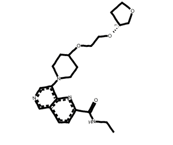 CCNC(=O)c1ccc2cncc(N3CCC(OCCO[C@@H]4CCOC4)CC3)c2n1